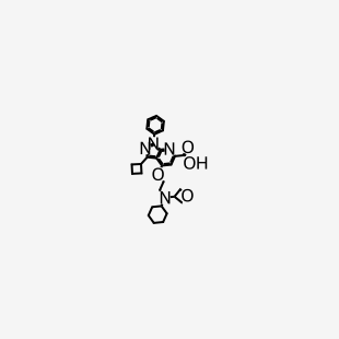 O=C(O)c1cc(OCCN(C2CCCCC2)C2COC2)c2c(C3CCC3)nn(-c3ccccc3)c2n1